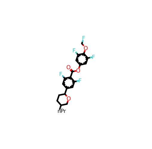 CCCC1CCC(c2cc(F)c(C(=O)Oc3cc(F)c(OCF)c(F)c3)c(F)c2)OC1